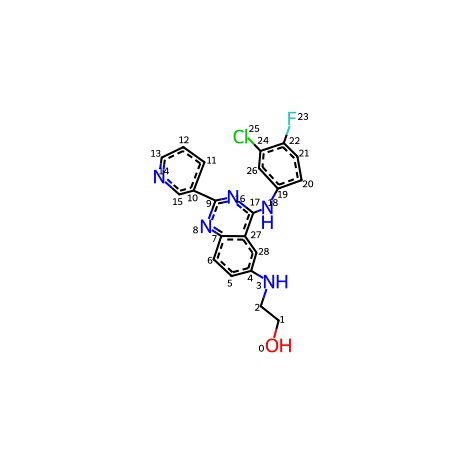 OCCNc1ccc2nc(-c3cccnc3)nc(Nc3ccc(F)c(Cl)c3)c2c1